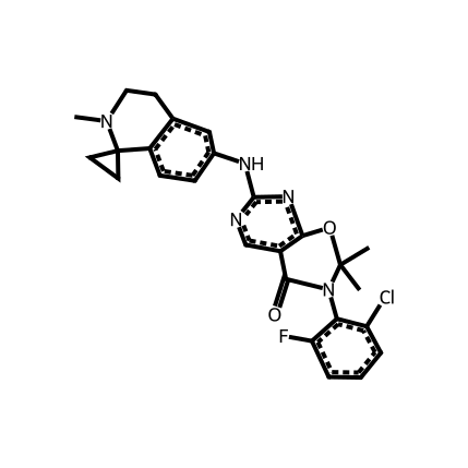 CN1CCc2cc(Nc3ncc4c(n3)OC(C)(C)N(c3c(F)cccc3Cl)C4=O)ccc2C12CC2